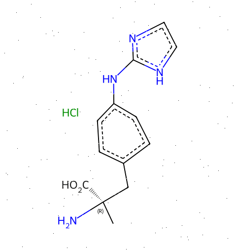 C[C@@](N)(Cc1ccc(Nc2ncc[nH]2)cc1)C(=O)O.Cl